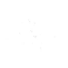 Fc1ccc(Nn2c(-c3ccc(Cl)cc3Cl)c[nH]c2=S)c(F)c1